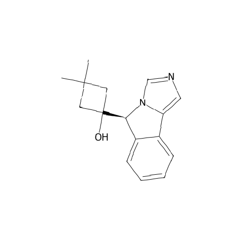 CC1(C)CC(O)([C@@H]2c3ccccc3-c3cncn32)C1